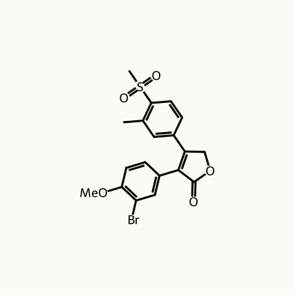 COc1ccc(C2=C(c3ccc(S(C)(=O)=O)c(C)c3)COC2=O)cc1Br